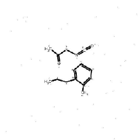 CC(=O)SN=C=O.CCCc1ccccc1C